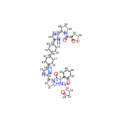 O=C(N[C@@H](C(=O)N1CCCC1c1ncc(-c2ccc(-c3ccc(-c4cnc(C5CCCN5C(=O)C5CCCO5)[nH]4)cc3)cc2)[nH]1)c1ccccc1)[C@@H]1CCCO1